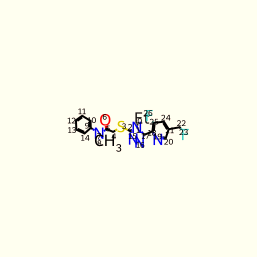 CCn1c(SCC(=O)N(C)c2ccccc2)nnc1-c1ncc(CF)cc1F